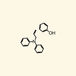 C=CCN(c1ccccc1)c1ccccc1.Oc1ccccc1